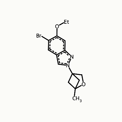 CCOc1cc2nn(C34COC(C)(C3)C4)cc2cc1Br